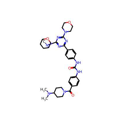 CN(C)C1CCN(C(=O)c2ccc(NC(=O)Nc3ccc(-c4nc(N5CCOCC5)nc(N5CC6CCC5CO6)n4)cc3)cc2)CC1